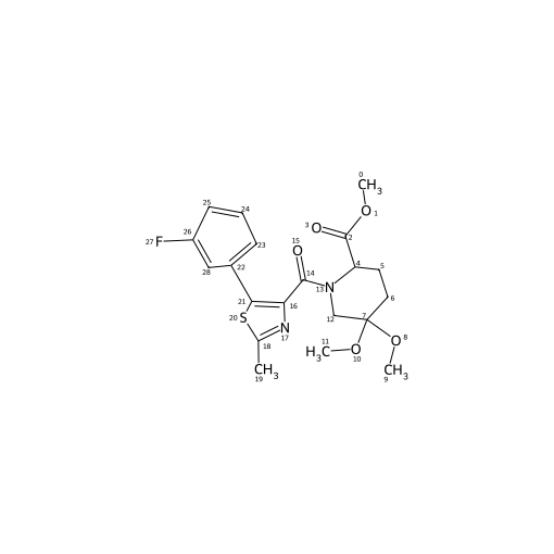 COC(=O)C1CCC(OC)(OC)CN1C(=O)c1nc(C)sc1-c1cccc(F)c1